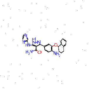 NC(=O)c1c(-c2ccc(N)c(OC3CCCc4ccccc43)c2)n[nH]c1Nc1cnccn1